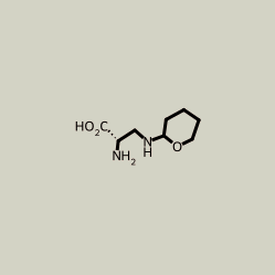 N[C@@H](CNC1CCCCO1)C(=O)O